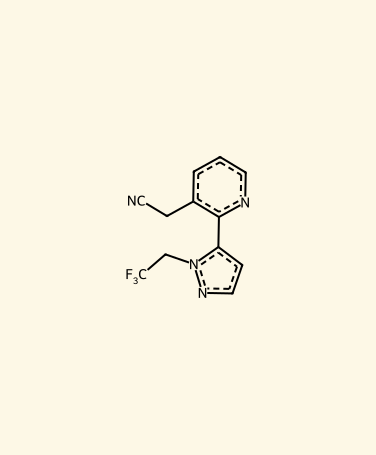 N#CCc1cccnc1-c1ccnn1CC(F)(F)F